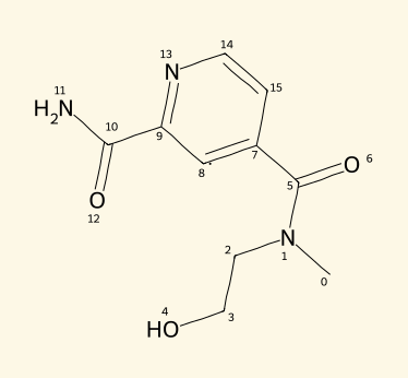 CN(CCO)C(=O)c1[c]c(C(N)=O)ncc1